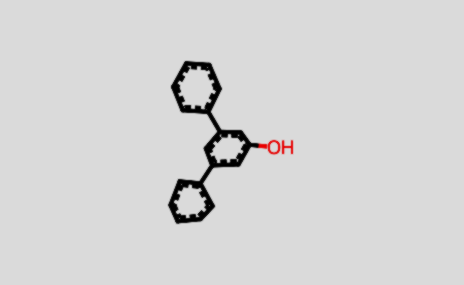 Oc1cc(-c2ccccc2)cc(-c2ccccc2)c1